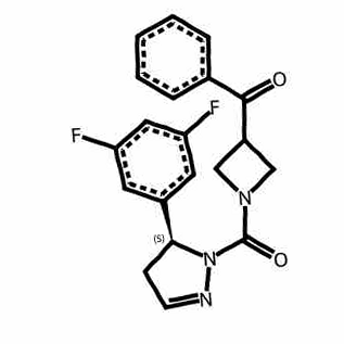 O=C(c1ccccc1)C1CN(C(=O)N2N=CC[C@H]2c2cc(F)cc(F)c2)C1